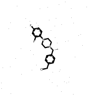 C[C@H](c1ccc(CCl)cc1)N1CCN(c2ccc(F)cc2F)CC1